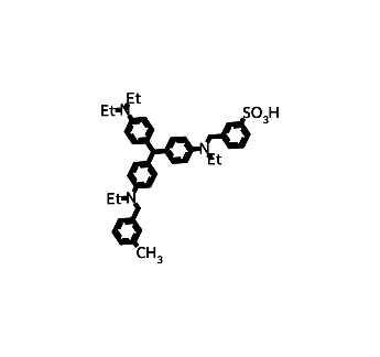 CCN(CC)c1ccc(C(c2ccc(N(CC)Cc3cccc(C)c3)cc2)c2ccc(N(CC)Cc3cccc(S(=O)(=O)O)c3)cc2)cc1